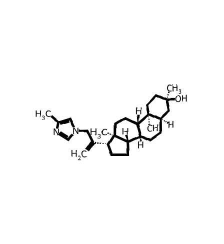 C=C(Cn1cnc(C)c1)[C@H]1CC[C@H]2[C@@H]3CC[C@@H]4C[C@](C)(O)CC[C@]4(C)[C@H]3CC[C@]12C